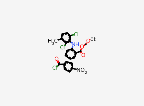 CCOCOC(=O)c1ccccc1Nc1c(Cl)ccc(C)c1Cl.O=C(Cl)c1ccc([N+](=O)[O-])cc1